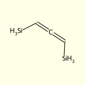 [SiH3]C=C=C[SiH3]